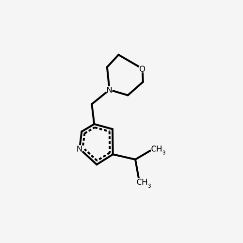 CC(C)c1cncc(CN2CCOCC2)c1